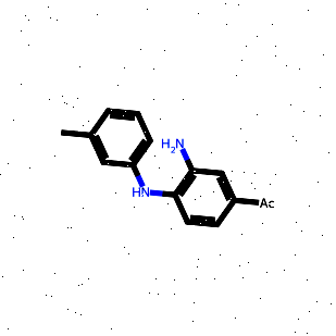 CC(=O)c1ccc(Nc2cccc(C)c2)c(N)c1